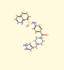 O=C(c1ccc(N[S+]([O-])c2cccc3cccnc23)cc1)N1CCN(Cc2cn[nH]c2)CC1